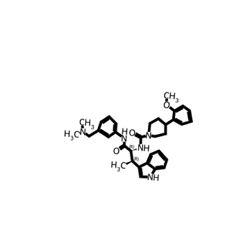 COc1ccccc1C1CCN(C(=O)N[C@@H](C(=O)Nc2cccc(CN(C)C)c2)[C@H](C)c2c[nH]c3ccccc23)CC1